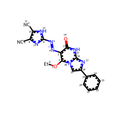 CCOc1c(/N=N/c2nc(C#N)c(C#N)[nH]2)c(=O)[nH]c2nc(-c3ccccc3)cn12